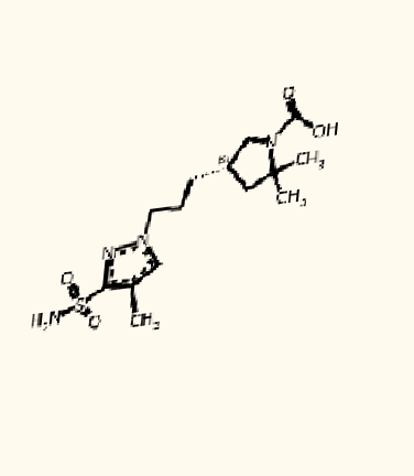 Cc1cn(CCC[C@@H]2CN(C(=O)O)C(C)(C)C2)nc1S(N)(=O)=O